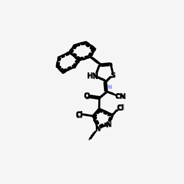 Cn1nc(Cl)c(C(=O)/C(C#N)=C2\NC(c3cccc4ccccc34)=CS2)c1Cl